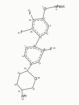 CCCCCOc1ccc(-c2ccc(C3CCC(CCC)CO3)cc2F)c(F)c1F